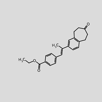 CCOC(=O)c1ccc(C=C(C)c2ccc3c(c2)CCC(=O)CC3)cc1